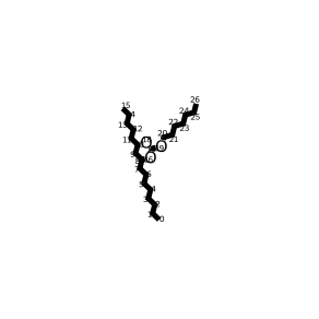 CCCCCCCCC(CCCCCCC)OC(=O)OCCCCCCC